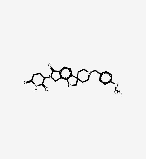 COc1ccc(CN2CCC3(CC2)COc2c3ccc3c2CN(C2CCC(=O)NC2=O)C3=O)cc1